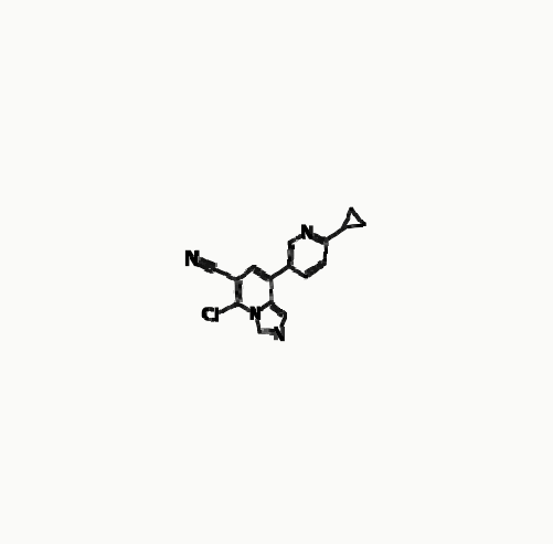 N#Cc1cc(-c2ccc(C3CC3)nc2)c2cncn2c1Cl